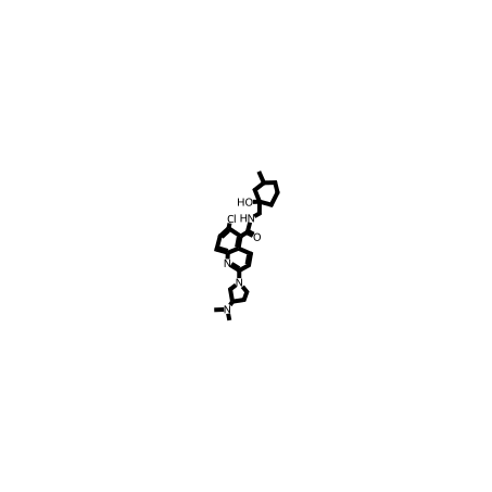 CC1CCCC(O)(CNC(=O)c2c(Cl)ccc3nc(N4CCC(N(C)C)C4)ccc23)C1